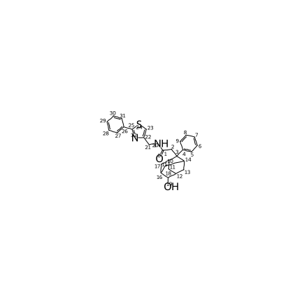 O=C(CC1(c2ccccc2)C2CC3CC1CC(C2)C3O)NCc1csc(-c2ccccc2)n1